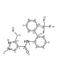 Cn1cc(C(=O)Nc2ccccc2-c2ccccc2C(F)(F)F)c(CF)n1